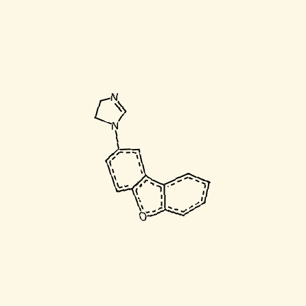 C1=NCCN1c1ccc2oc3ccccc3c2c1